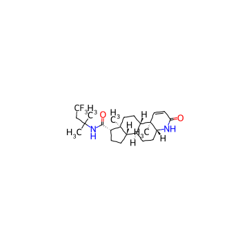 CC(C)(CC(F)(F)F)NC(=O)[C@H]1CC[C@H]2[C@@H]3CC[C@H]4NC(=O)C=C[C@]4(C)[C@H]3CC[C@]12C